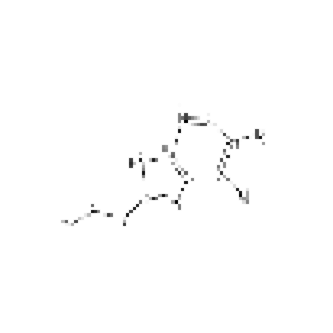 CCCc1cc2c(Cl)c(Br)cnc2[nH]1